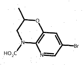 CC1CN(C(=O)O)c2ncc(Br)cc2O1